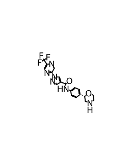 O=C(Nc1ccc([C@H]2CNCCO2)cc1)c1cnn(-c2cnc(C(F)(F)F)cn2)c1